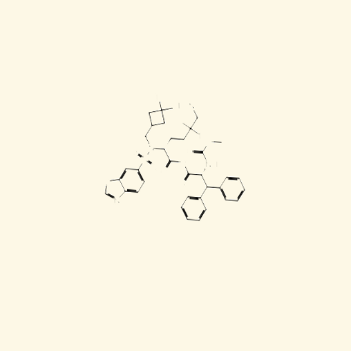 COC(=O)N[C@H](C(=O)OC(=O)[C@H](CCC(F)(F)CN)N(CC1CC(F)(F)C1)S(=O)(=O)c1ccc2ncsc2c1)C(c1ccccc1)c1ccccc1